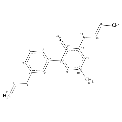 C=CCc1cccc(-c2cn(C)cc(SC=CCl)c2=S)c1